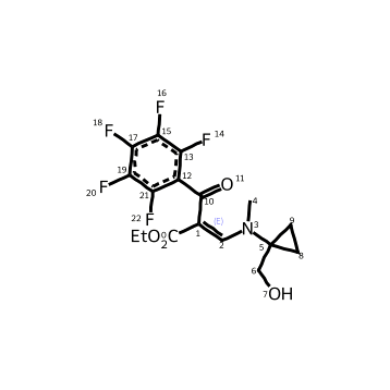 CCOC(=O)/C(=C/N(C)C1(CO)CC1)C(=O)c1c(F)c(F)c(F)c(F)c1F